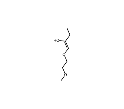 CCC(O)=COCCOC